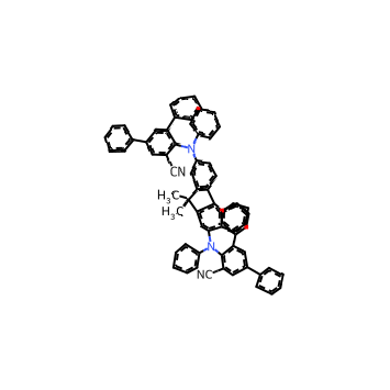 CC1(C)c2cc(N(c3ccccc3)c3c(C#N)cc(-c4ccccc4)cc3-c3ccccc3)ccc2-c2c1cc(N(c1ccccc1)c1c(C#N)cc(-c3ccccc3)cc1-c1ccccc1)c1ccccc21